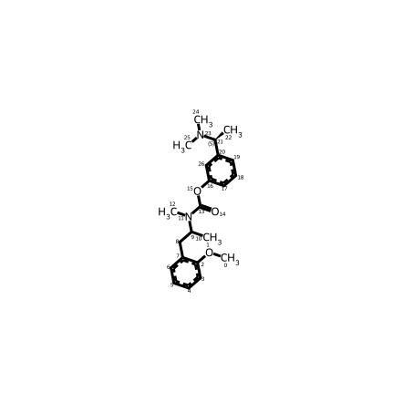 COc1ccccc1CC(C)N(C)C(=O)Oc1cccc([C@H](C)N(C)C)c1